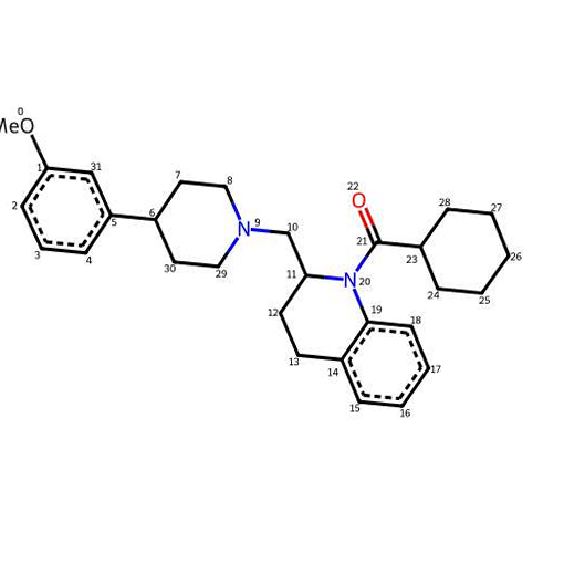 COc1cccc(C2CCN(CC3CCc4ccccc4N3C(=O)C3CCCCC3)CC2)c1